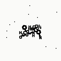 CC(O/C(=C\CNC1c2cc(C#N)ccc2OC(C)(C)C1O)OCCC=O)c1ccccc1